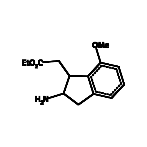 CCOC(=O)CC1c2c(cccc2OC)CC1N